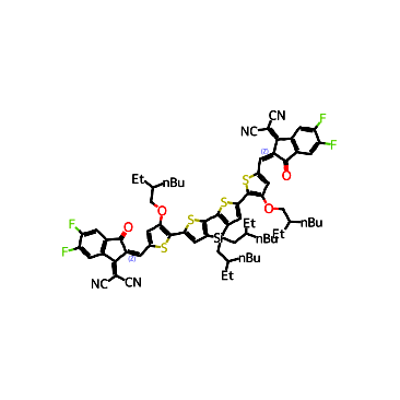 CCCCC(CC)COc1cc(/C=C2\C(=O)c3cc(F)c(F)cc3C2=C(C#N)C#N)sc1-c1cc2c(s1)-c1sc(-c3sc(/C=C4\C(=O)c5cc(F)c(F)cc5C4=C(C#N)C#N)cc3OCC(CC)CCCC)cc1[Si]2(CC(CC)CCCC)CC(CC)CCCC